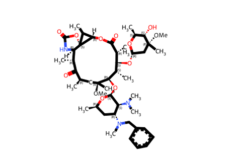 CO[C@]1(C)C[C@H](O[C@H]2[C@H](C)[C@@H](O[C@@H]3O[C@H](C)C[C@@H](N(C)Cc4ccccc4)[C@@H]3N(C)C)[C@@](C)(OC)C[C@@H](C)C(=O)[C@H](C)[C@H]3NC(=O)O[C@@]34C(C)[C@H]4OC(=O)[C@@H]2C)O[C@@H](C)[C@@H]1O